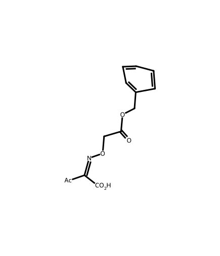 CC(=O)C(=NOCC(=O)OCc1ccccc1)C(=O)O